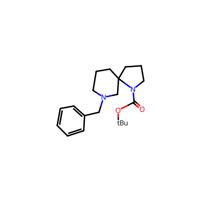 CC(C)(C)OC(=O)N1CCCC12CCCN(Cc1ccccc1)C2